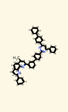 Cc1cc(-c2cccc(-c3ccc(-c4nc(-c5ccccc5)cc(-c5ccc(-c6ccccc6)cc5)n4)cc3)c2)nc2c1ccc1ccc(-c3ccccc3)nc12